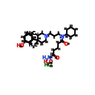 CC1CN(CCCN(C(=O)CCCC(N)=O)C2CCCCC2)CCC1(C)c1cccc(O)c1.Cl.O